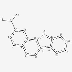 CC(C)c1[c]c2c(cc1)ccc1c3ccccc3oc21